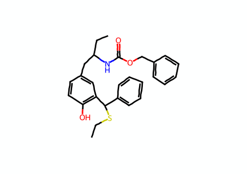 CCSC(c1ccccc1)c1cc(CC(CC)NC(=O)OCc2ccccc2)ccc1O